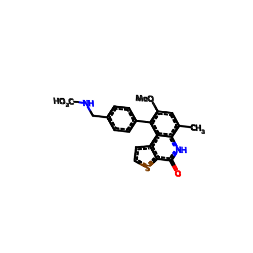 COc1cc(C)c2[nH]c(=O)c3sccc3c2c1-c1ccc(CNC(=O)O)cc1